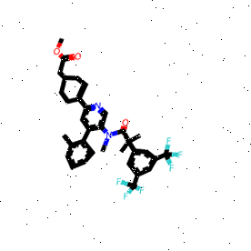 COC(=O)CC1CC=C(c2cc(-c3ccccc3C)c(N(C)C(=O)C(C)(C)c3cc(C(F)(F)F)cc(C(F)(F)F)c3)cn2)CC1